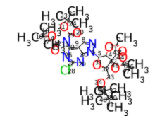 CC(=O)OC1C(n2ncc3c(N(C(=O)OC(C)(C)C)C(=O)OC(C)(C)C)nc(Cl)nc32)OC(CO[Si](C)(C)C(C)(C)C)C12COC(C)(C)O2